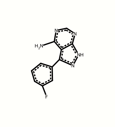 Nc1ncnc2[nH]nc(-c3cccc(F)c3)c12